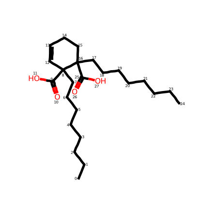 CCCCCCCCC1(C(=O)O)C=CCCC1(CCCCCCCC)C(=O)O